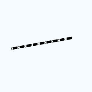 C=C=C=C=C=C=C=C=C=S